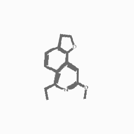 CCc1nc(OC)cc2c3c(ccc12)CCO3